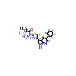 CC(C)C(=O)N(N)C1NC(c2c[nH]c3ncc(-c4ccccc4)cc23)=CS1